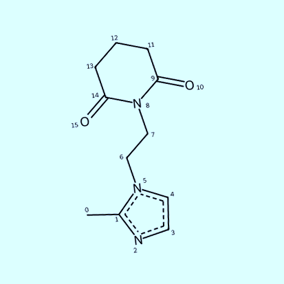 Cc1nccn1CCN1C(=O)CCCC1=O